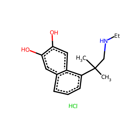 CCNCC(C)(C)c1cccc2cc(O)c(O)cc12.Cl